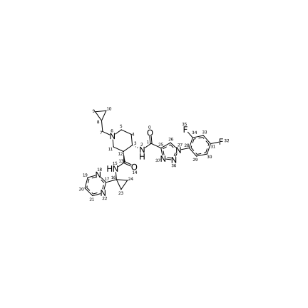 O=C(N[C@H]1CCN(CC2CC2)C[C@@H]1C(=O)NC1(c2ncccn2)CC1)c1cn(-c2ccc(F)cc2F)nn1